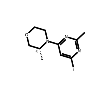 Cc1nc(I)cc(N2CCOC[C@H]2C)n1